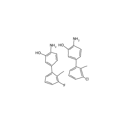 Cc1c(Cl)cccc1-c1ccc(N)c(O)c1.Cc1c(F)cccc1-c1ccc(N)c(O)c1